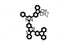 CC1(C)c2ccccc2-c2cc(-c3cc(-c4ccccc4)nc(-c4ccc5c(c4)nc(-c4ccc6c7ccccc7c7ccccc7c6c4)c4c6ccccc6sc54)n3)ccc21